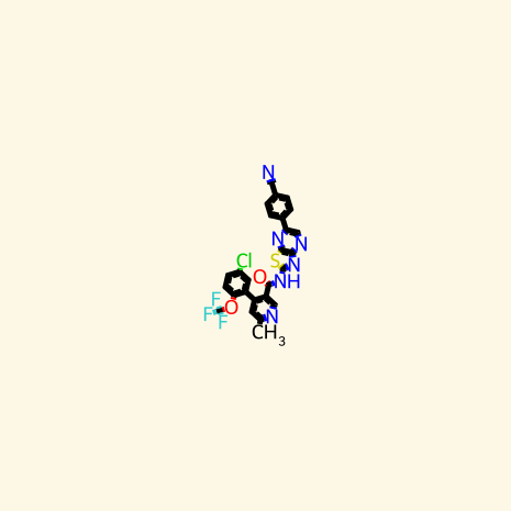 Cc1cc(-c2cc(Cl)ccc2OC(F)(F)F)c(C(=O)Nc2nc3ncc(-c4ccc(C#N)cc4)nc3s2)cn1